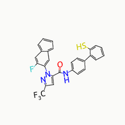 O=C(Nc1ccc(-c2ccccc2S)cc1)c1cc(C(F)(F)F)nn1-c1cc2ccccc2cc1F